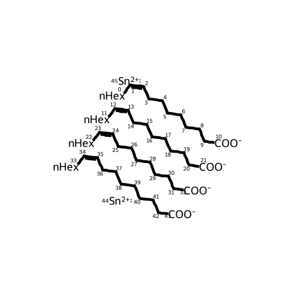 CCCCCC/C=C\CCCCCCCC(=O)[O-].CCCCCC/C=C\CCCCCCCC(=O)[O-].CCCCCC/C=C\CCCCCCCC(=O)[O-].CCCCCC/C=C\CCCCCCCC(=O)[O-].[Sn+2].[Sn+2]